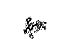 CCCN(CC)S(=O)(=O)NC(=O)c1cc(OCC2CCOCC2)c2c(C3CCC3)nn(-c3ccccc3)c2n1